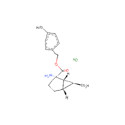 CC(=O)Oc1ccc(COC(=O)[C@]2(N)CC[C@H]3[C@H](C(=O)O)[C@H]32)cc1.Cl